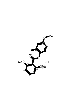 CCC(C)Oc1ccc(PC(=O)c2c(OC)cccc2OC)c(C)c1.[LiH]